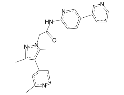 Cc1cc(-c2c(C)nn(CC(=O)Nc3ccc(-c4cccnc4)cn3)c2C)ccn1